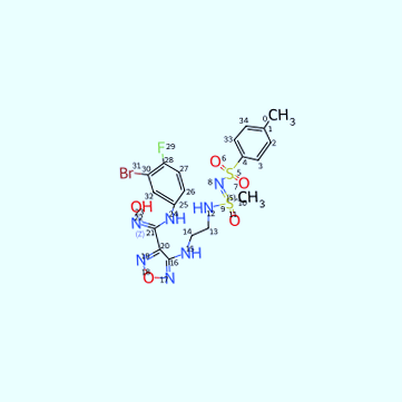 Cc1ccc(S(=O)(=O)N=[S@@](C)(=O)NCCNc2nonc2/C(=N/O)Nc2ccc(F)c(Br)c2)cc1